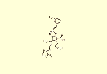 C\C=N/C(C)=N\C=C\C(C)n1c(CCC(=O)O)c(C(=O)C(C)C)c2cc(OCc3cccc(C(F)(F)F)n3)nnc21